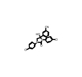 N#Cc1cccc(C2(O)CN(c3ccc(Cl)cc3)C(=O)N2c2ccc(Cl)cc2)c1